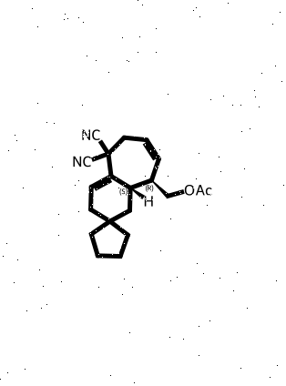 CC(=O)OC[C@@H]1C=CCC(C#N)(C#N)C2=CCC3(CCCC3)C[C@H]21